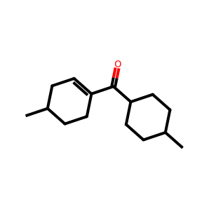 CC1CC=C(C(=O)C2CCC(C)CC2)CC1